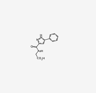 O=C(O)C[AsH]C(=O)c1cc(-c2ccccc2)[nH]n1